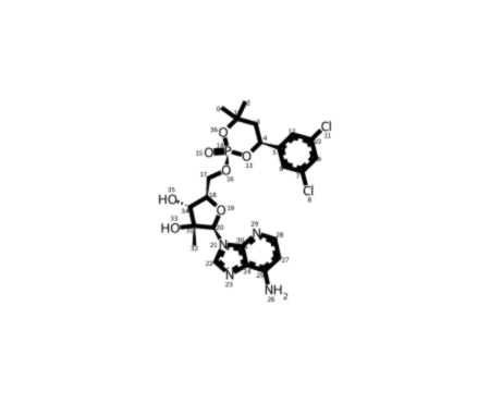 CC1(C)C[C@@H](c2cc(Cl)cc(Cl)c2)O[P@@](=O)(OC[C@H]2O[C@@H](n3cnc4c(N)ccnc43)[C@](C)(O)[C@@H]2O)O1